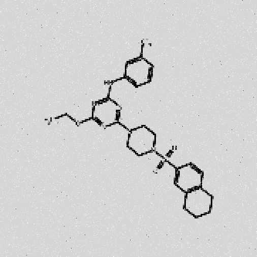 O=S(=O)(c1ccc2c(c1)CCCC2)N1CCN(c2nc(Nc3cccc(C(F)(F)F)c3)nc(OCC(F)(F)F)n2)CC1